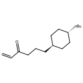 C=CC(=O)CCC[C@H]1CC[C@H](CCCC)CC1